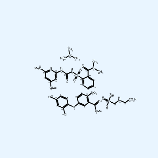 COC(=O)c1cc(Oc2ccc(Cl)cc2Cl)ccc1[N+](=O)[O-].COc1cc(OC)nc(NC(=O)NS(=O)(=O)c2ncccc2C(=O)N(C)C)n1.C[S+](C)C.O=C(O)CNCP(=O)([O-])O